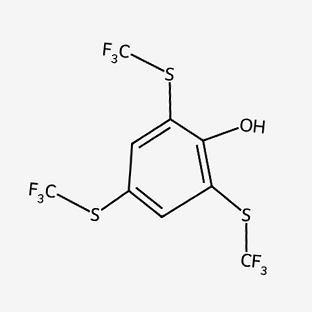 Oc1c(SC(F)(F)F)cc(SC(F)(F)F)cc1SC(F)(F)F